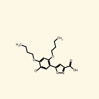 CCCCOc1cc(OCCCC)c(-c2cc(C(=O)O)no2)cc1Cl